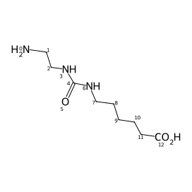 NCCNC(=O)NCCCCCC(=O)O